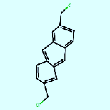 ClCc1ccc2cc3cc(CCl)ccc3cc2c1